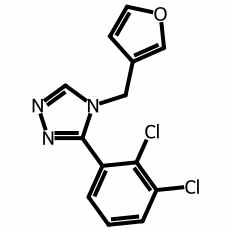 Clc1cccc(-c2nncn2Cc2ccoc2)c1Cl